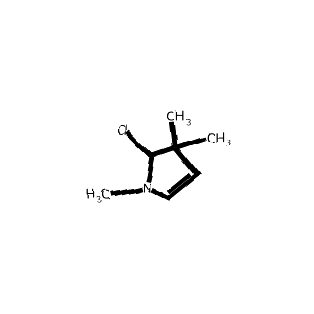 CN1C=CC(C)(C)C1Cl